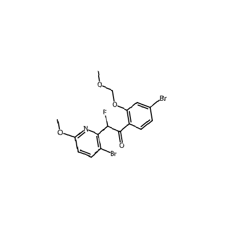 COCOc1cc(Br)ccc1C(=O)C(F)c1nc(OC)ccc1Br